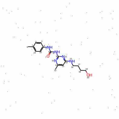 Cc1ccc(NC(=O)Nc2nc(C)cc(NCCCCO)n2)cc1